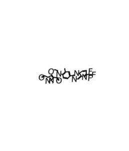 Cc1cc(-c2ncc3nc(C(F)(F)F)ccc3n2)ccc1N1CCOc2c(C=O)nn(C)c2C1=O